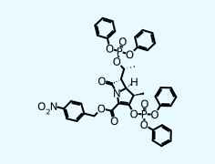 C[C@@H](OP(=O)(Oc1ccccc1)Oc1ccccc1)[C@H]1C(=O)N2C(C(=O)OCc3ccc([N+](=O)[O-])cc3)=C(OP(=O)(Oc3ccccc3)Oc3ccccc3)[C@H](C)[C@H]12